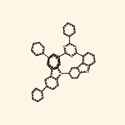 c1ccc(-c2ccc3c(c2)c2cc(-c4ccccc4)ccc2n3-c2ccc3oc4cccc(-c5nc(-c6ccccc6)nc(-c6ccccc6)n5)c4c3c2)cc1